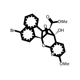 COC(=O)[C@@H]1C(c2ccccc2)[C@@]2(c3ccc(Br)cc3)Oc3nc(OC)ccc3[C@@]1(O)C2=O